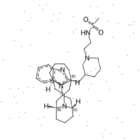 CS(=O)(=O)NCCN1CCCC(Cc2nc3ccccc3n2C2C[C@H]3CCC[C@@H](C2)N3C2C[C@H]3CCCC[C@@H](C2)C3)C1